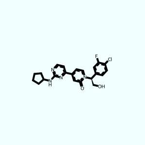 O=c1cc(-c2ccnc(NC3CCCC3)n2)ccn1[C@H](CO)c1ccc(Cl)c(F)c1